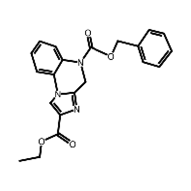 CCOC(=O)c1cn2c(n1)CN(C(=O)OCc1ccccc1)c1ccccc1-2